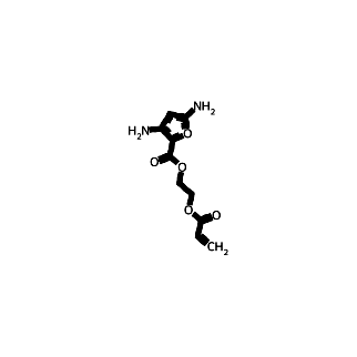 C=CC(=O)OCCOC(=O)c1oc(N)cc1N